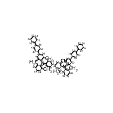 Cc1cc(-c2ccc(N(c3ccc(-c4ccc(-c5ccccc5)cc4)cc3)c3c(C)cccc3C)c(C)c2)ccc1N(c1ccc(-c2ccc(-c3ccccc3)cc2)cc1)c1c(C)cccc1C